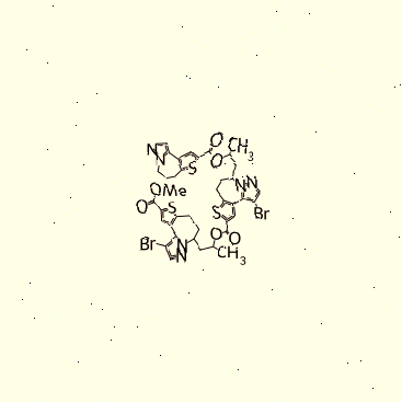 COC(=O)c1cc2c(s1)CCC(CC(C)OC(=O)c1cc3c(s1)CCC(CC(C)OC(=O)c1cc4c(s1)CCCn1nccc1-4)n1ncc(Br)c1-3)n1ncc(Br)c1-2